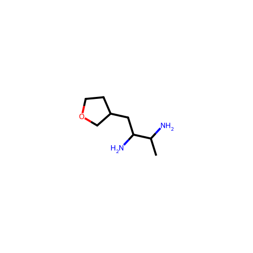 CC(N)C(N)CC1CCOC1